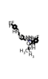 CC(C)COC(=O)c1[nH]c2ccc(F)cc2c1/C(N)=C/N(N)CC1CCN(CCNCc2ccc(C(F)(F)F)cc2)CC1